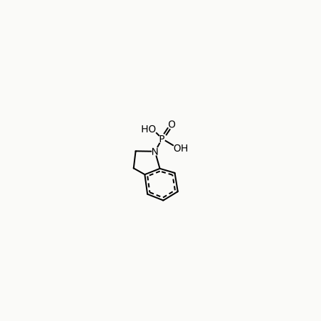 O=P(O)(O)N1CCc2ccccc21